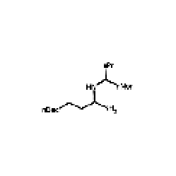 CCCCCCCCCCCCC(N)NC(CCC)CCCCCCCCC